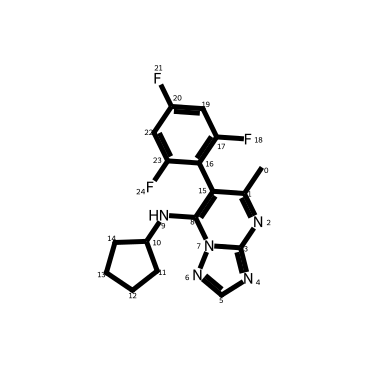 Cc1nc2ncnn2c(NC2CCCC2)c1-c1c(F)cc(F)cc1F